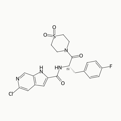 O=C(N[C@@H](Cc1ccc(F)cc1)C(=O)N1CCS(=O)(=O)CC1)c1cc2cc(Cl)ncc2[nH]1